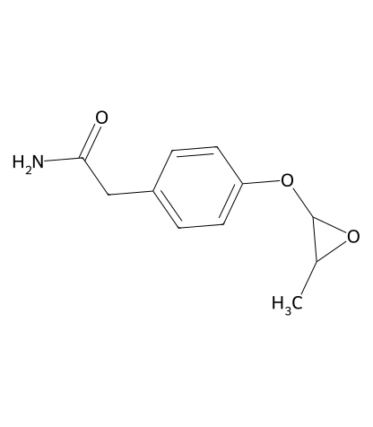 CC1OC1Oc1ccc(CC(N)=O)cc1